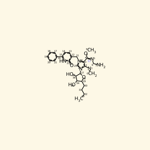 C=Nc1c(/C(=N\CN)OC)[n+](Cc2ccc(-c3ccccc3)[nH]c2=O)cn1C1OC(CCCC)C(O)C1O